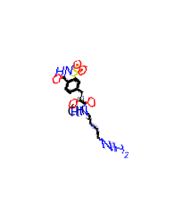 CO[C@@H](Cc1ccc2c(c1)S(=O)(=O)NC2=O)C(=O)NC/C=C/CN